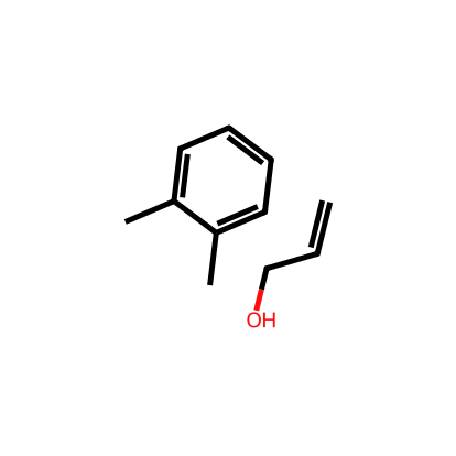 C=CCO.Cc1ccccc1C